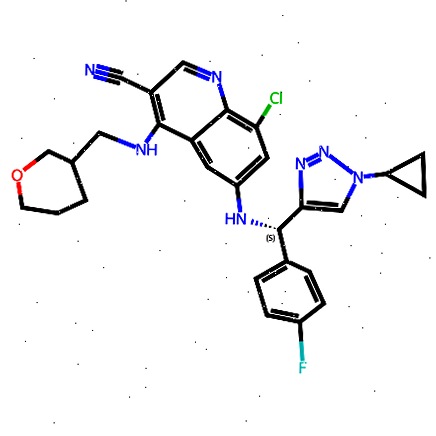 N#Cc1cnc2c(Cl)cc(N[C@@H](c3ccc(F)cc3)c3cn(C4CC4)nn3)cc2c1NCC1CCCOC1